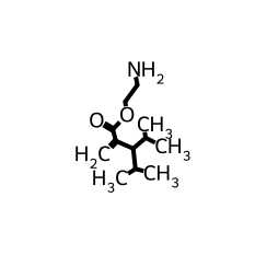 C=C(C(=O)OCCN)C(C(C)C)C(C)C